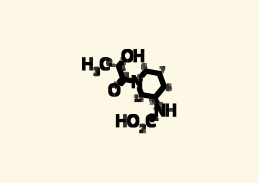 C[C@H](O)C(=O)N1CCC[C@@H](NC(=O)O)C1